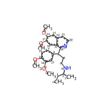 CCC(C)NCCC(c1ccc(OC)c(OC)c1)c1nccc2cc(OC)c(OC)cc12